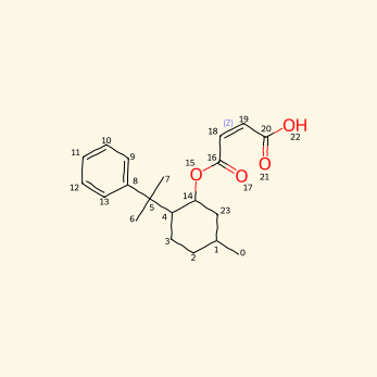 CC1CCC(C(C)(C)c2ccccc2)C(OC(=O)/C=C\C(=O)O)C1